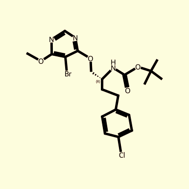 COc1ncnc(OC[C@@H](CCc2ccc(Cl)cc2)NC(=O)OC(C)(C)C)c1Br